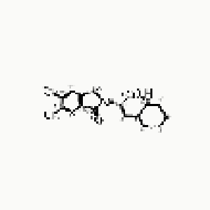 O=C(O)[C@H](CC1CCCCC1)N1Cc2cc(Cl)c(Cl)cc2C1=O